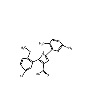 Bc1cnc(N)nc1-c1cc(C(=O)O)c(-c2cc(Cl)ccc2CC)[nH]1